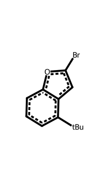 CC(C)(C)c1cccc2oc(Br)cc12